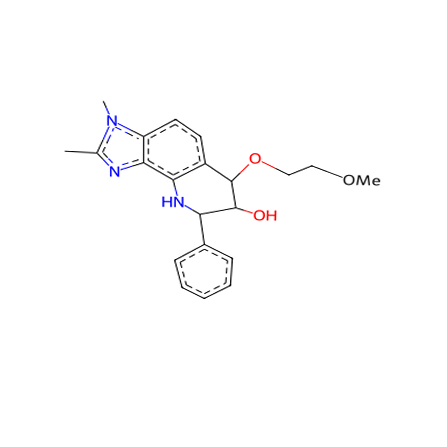 COCCOC1c2ccc3c(nc(C)n3C)c2NC(c2ccccc2)C1O